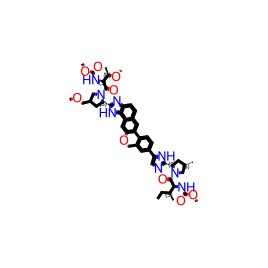 CC[C@H](C)C(NC(=O)OC)C(=O)N1C[C@@H](C)C[C@H]1c1ncc(-c2ccc3c(c2)COc2cc4c(ccc5nc([C@@H]6CC(COC)CN6C(=O)[C@@H](NC(=O)OC)[C@@H](C)OC)[nH]c54)cc2-3)[nH]1